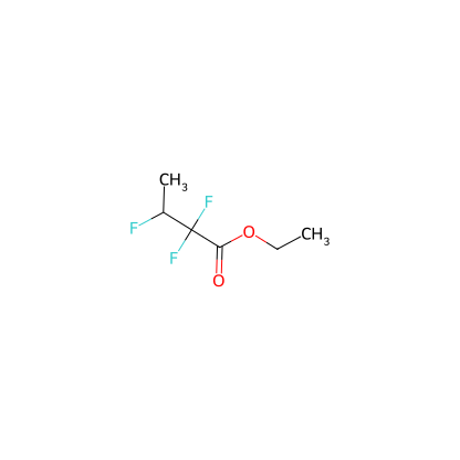 CCOC(=O)C(F)(F)C(C)F